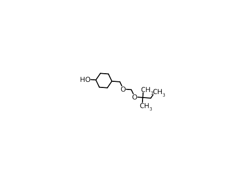 CCC(C)(C)OCOCC1CCC(O)CC1